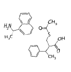 CC(=O)SCC(C(=O)O)C(C)c1ccccc1.C[C@H](N)c1cccc2ccccc12